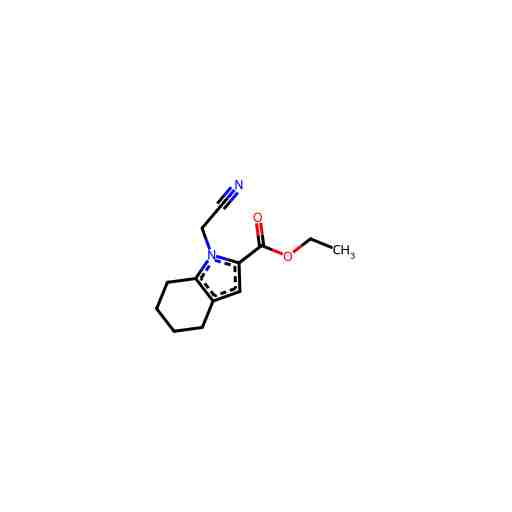 CCOC(=O)c1cc2c(n1CC#N)CCCC2